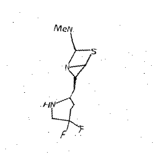 CNC1SC2C([C@H]3CC(F)(F)CN3)N12